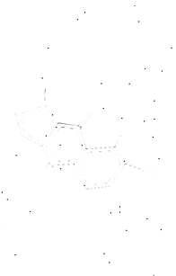 Cc1ccc2[nH]c3cnn(C)c3c(=O)c2c1F